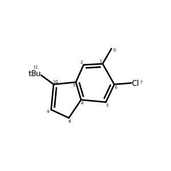 Cc1cc2c(cc1Cl)CC=C2C(C)(C)C